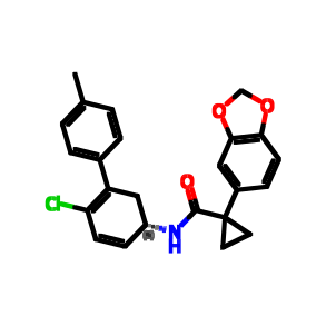 Cc1ccc(C2=C(Cl)C=C[C@@H](NC(=O)C3(c4ccc5c(c4)OCO5)CC3)C2)cc1